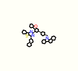 c1ccc2cc(-c3nc(-c4cc(-c5ccc(Cn6c7ccccc7c7ccc8ccccc8c76)cc5)cc5oc6ccccc6c45)nc4c3sc3ccccc34)ccc2c1